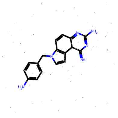 N=C1N=C(N)N=C2C=Cc3c(ccn3Cc3ccc(N)cc3)C12